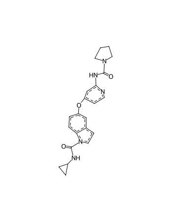 O=C(Nc1cc(Oc2ccc3c(ccn3C(=O)NC3CC3)c2)ccn1)N1CCCC1